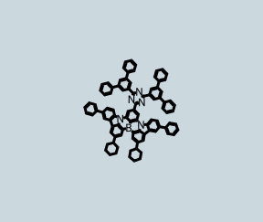 c1ccc(-c2cc(-c3ccccc3)cc(-c3nc(-c4cc(-c5ccccc5)cc(-c5ccccc5)c4)nc(-c4cc5c6c(c4)-n4c7ccc(-c8ccccc8)cc7c7cc(C8CCCCC8)cc(c74)B6c4cc(C6CCCCC6)cc6c7cc(-c8ccccc8)ccc7n-5c46)n3)c2)cc1